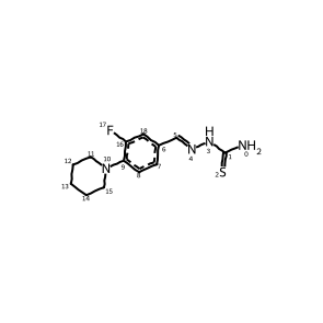 NC(=S)N/N=C/c1ccc(N2CCCCC2)c(F)c1